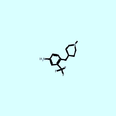 CN1CCC(Cc2ccc(N)cc2C(F)(F)F)CC1